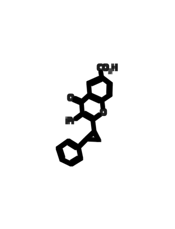 CC(C)c1c(C2CC2c2ccccc2)oc2ccc(C(=O)O)cc2c1=O